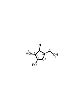 CC[C@@H]1O[C@H](CO)C(O)[C@@H]1O